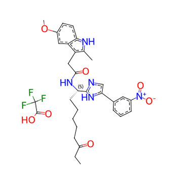 CCC(=O)CCCCC[C@H](NC(=O)Cc1c(C)[nH]c2ccc(OC)cc12)c1ncc(-c2cccc([N+](=O)[O-])c2)[nH]1.O=C(O)C(F)(F)F